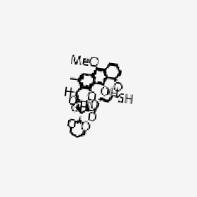 COc1c2c(c(O)c3c4c(c(C)cc13)[C@@H]1O[C@@]3(C5OCCCO5)O[C@@H]1[C@@](OCCCS)(O4)[C@@]31CO1)C(=O)CCC2